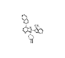 Cn1c(-c2nc3c(-c4ccc5ccccc5c4)ccnc3n2C2CCNCC2)cc2ccccc21